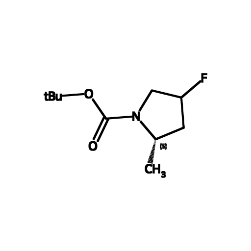 C[C@H]1CC(F)CN1C(=O)OC(C)(C)C